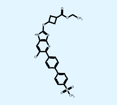 CCOC(=O)C1CC(Oc2nc3nc(-c4ccc(-c5ccc(S(C)(=O)=O)cc5)cc4)c(Cl)cc3[nH]2)C1